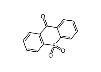 O=C1c2[c]cccc2S(=O)(=O)c2ccccc21